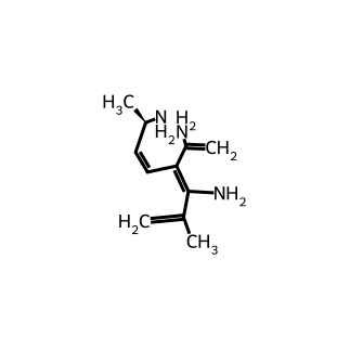 C=C(C)/C(N)=C(\C=C/[C@@H](C)N)C(=C)N